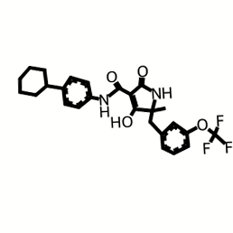 CC1(Cc2cccc(OC(F)(F)F)c2)NC(=O)C(C(=O)Nc2ccc(C3CCCCC3)cc2)=C1O